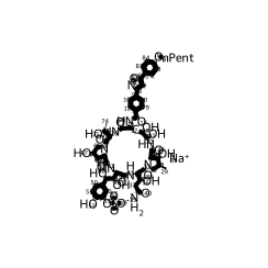 CCCCCOc1ccc(-c2cc(-c3ccc(C(=O)N[C@H]4C[C@@H](O)[C@H](O)NC(=O)[C@@H]5[C@@H](O)[C@@H](C)CN5C(=O)[C@H]([C@H](O)CC(N)=O)NC(=O)[C@H]([C@H](O)[C@@H](O)c5ccc(O)c(OS(=O)(=O)[O-])c5)NC(=O)[C@@H]5C[C@@H](O)CN5C(=O)[C@H]([C@@H](C)O)NC4=O)cc3)no2)cc1.[Na+]